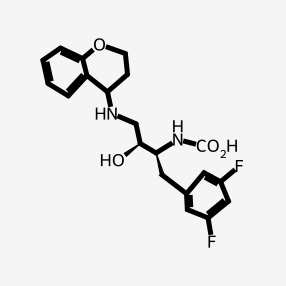 O=C(O)N[C@@H](Cc1cc(F)cc(F)c1)[C@@H](O)CNC1CCOc2ccccc21